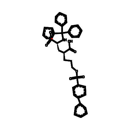 O=C(O)[C@@H](CCCOS(=O)(=O)c1ccc(-c2ccccc2)cc1)C[C@@H](NC(c1ccccc1)(c1ccccc1)c1ccccc1)C(=O)O